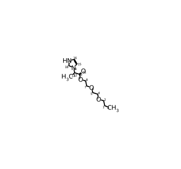 CCCOCCOCCOC(=O)C(C)N1C=CNC1